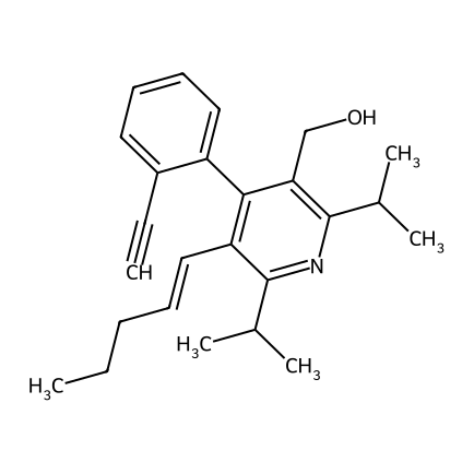 C#Cc1ccccc1-c1c(C=CCCC)c(C(C)C)nc(C(C)C)c1CO